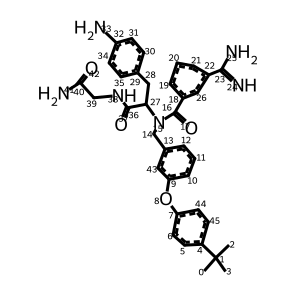 CC(C)(C)c1ccc(Oc2cccc(CN(C(=O)c3cccc(C(=N)N)c3)C(Cc3ccc(N)cc3)C(=O)NCC(N)=O)c2)cc1